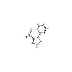 O=[N+]([O-])C1=NNCC1c1ccccc1